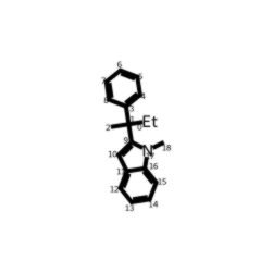 [CH2]CC(C)(c1ccccc1)c1cc2ccccc2n1C